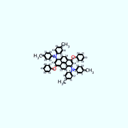 Cc1ccc(N(c2ccc(C)cc2)c2cc(Oc3ccccc3)c3ccc4c(N(c5ccc(C)cc5)c5ccc(C)cc5)cc(Oc5ccccc5)c5ccc2c3c54)cc1